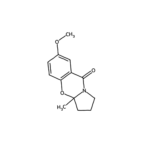 COc1ccc2c(c1)C(=O)N1CCCC1(C)O2